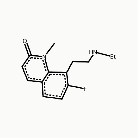 CCNCCc1c(F)ccc2ccc(=O)n(C)c12